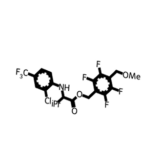 COCc1c(F)c(F)c(COC(=O)C(Nc2ccc(C(F)(F)F)cc2Cl)C(C)C)c(F)c1F